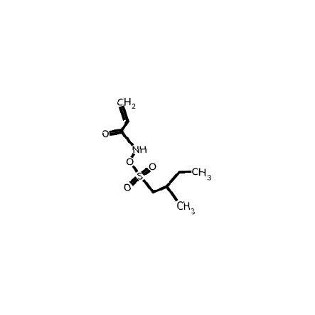 C=CC(=O)NOS(=O)(=O)CC(C)CC